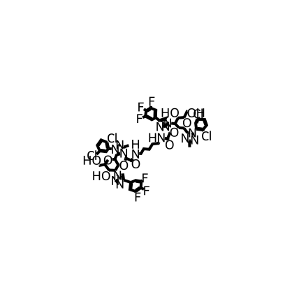 Cc1nc(C2OC(CO)C(O)C(n3cc(-c4cc(F)c(F)c(F)c4)nn3)C2OCC(=O)NCCCCCNC(=O)COC2C(c3nc(C)nn3-c3cc(Cl)ccc3Cl)OC(CO)C(O)C2n2cc(-c3cc(F)c(F)c(F)c3)nn2)n(-c2cc(Cl)ccc2Cl)n1